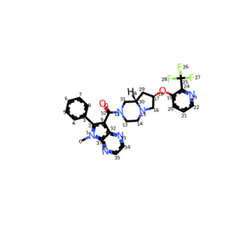 Cn1c(-c2ccccc2)c(C(=O)N2CCN3C[C@H](Oc4cccnc4C(F)(F)F)C[C@H]3C2)c2nccnc21